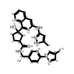 Cc1cc(Nc2cc3cccnc3c(C3(O)CCC(C(=O)N[C@@H](C)c4ccc(-n5cc(F)cn5)nc4)C3)n2)n[nH]1